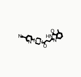 Cc1cccc2nc(CCC(=O)N3CCN(c4ccc(C#N)cn4)CC3)[nH]c(=O)c12